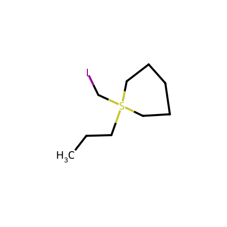 CCCS1(CI)CCCCC1